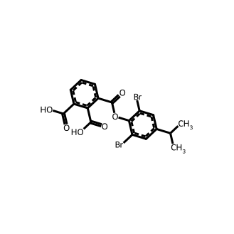 CC(C)c1cc(Br)c(OC(=O)c2cccc(C(=O)O)c2C(=O)O)c(Br)c1